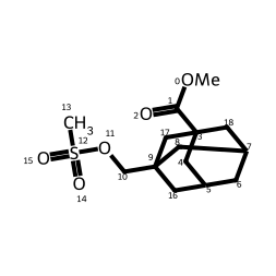 COC(=O)C12CC3CC(CC(COS(C)(=O)=O)(C3)C1)C2